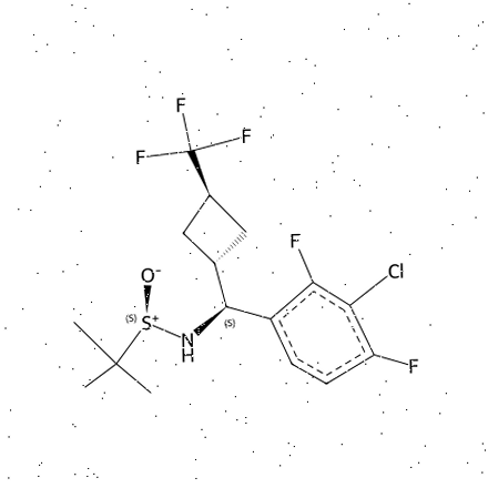 CC(C)(C)[S@@+]([O-])N[C@H](c1ccc(F)c(Cl)c1F)[C@H]1C[C@H](C(F)(F)F)C1